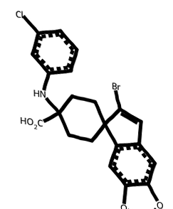 O=C(O)C1(Nc2cccc(Cl)c2)CCC2(CC1)C(Br)=Cc1cc3c(cc12)OCO3